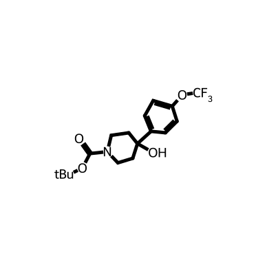 CC(C)(C)OC(=O)N1CCC(O)(c2ccc(OC(F)(F)F)cc2)CC1